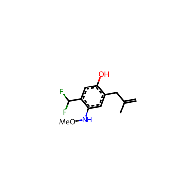 C=C(C)Cc1cc(NOC)c(C(F)F)cc1O